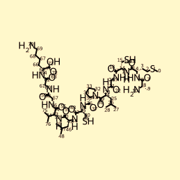 CSCC[C@H](NC(=O)[C@H](C)N)C(=O)N[C@@H](CS)C(=O)NCC(=O)N[C@@H](CC(C)C)C(=O)N1CCC[C@H]1C(=O)N[C@@H](CS)C(=O)N[C@@H](CC(C)C)C(=O)N[C@H](C(=O)NCC(=O)NCC(=O)N[C@@H](CCCCN)C(=O)O)C(C)C